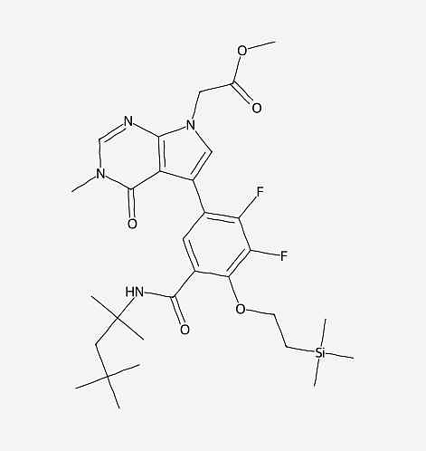 COC(=O)Cn1cc(-c2cc(C(=O)NC(C)(C)CC(C)(C)C)c(OCC[Si](C)(C)C)c(F)c2F)c2c(=O)n(C)cnc21